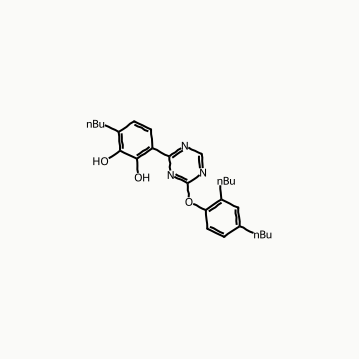 CCCCc1ccc(Oc2ncnc(-c3ccc(CCCC)c(O)c3O)n2)c(CCCC)c1